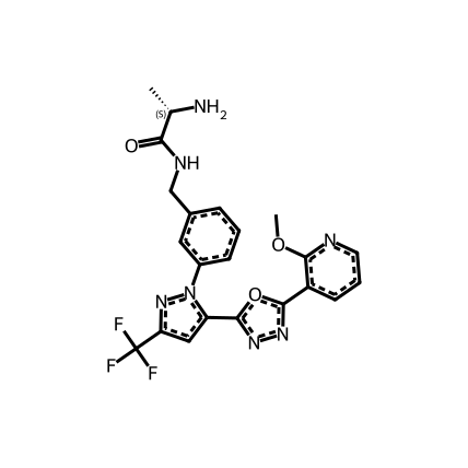 COc1ncccc1-c1nnc(-c2cc(C(F)(F)F)nn2-c2cccc(CNC(=O)[C@H](C)N)c2)o1